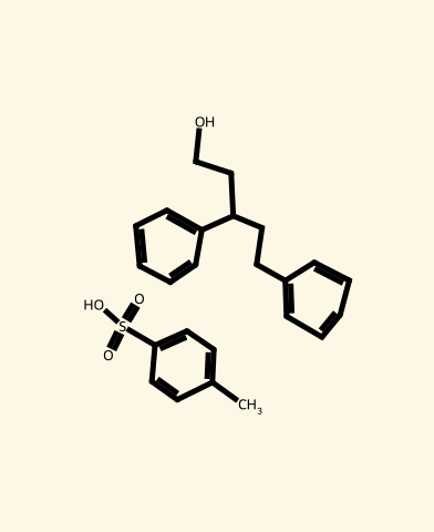 Cc1ccc(S(=O)(=O)O)cc1.OCCC(CCc1ccccc1)c1ccccc1